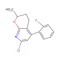 O=C(O)C1CCc2c(-c3ccccc3F)cc(Cl)nc2O1